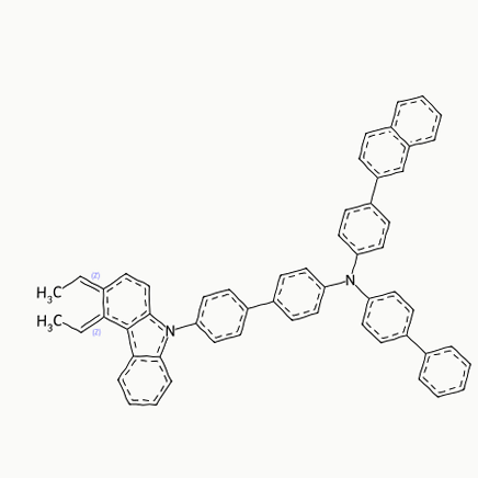 C/C=c1/ccc2c(/c1=C/C)c1ccccc1n2-c1ccc(-c2ccc(N(c3ccc(-c4ccccc4)cc3)c3ccc(-c4ccc5ccccc5c4)cc3)cc2)cc1